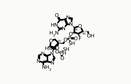 Nc1nc2c(ncn2[C@@H]2O[C@H](CO)[C@@H](F)[C@H]2OP(=O)(S)OC[C@]23CO[C@H](C2O[PH](=O)S)[C@H](n2cnc4c(N)ncnc42)O3)c(=O)[nH]1